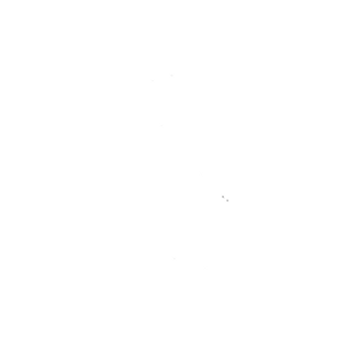 O=C1C(Cc2ccc(C(F)(F)F)cn2)=CC(=O)c2c(Cl)cccc21